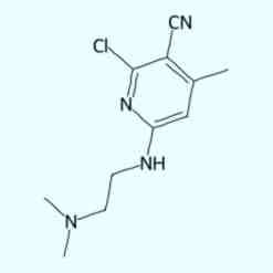 Cc1cc(NCCN(C)C)nc(Cl)c1C#N